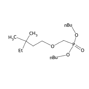 CCCCOP(=O)(COCCC(C)(C)CC)OCCCC